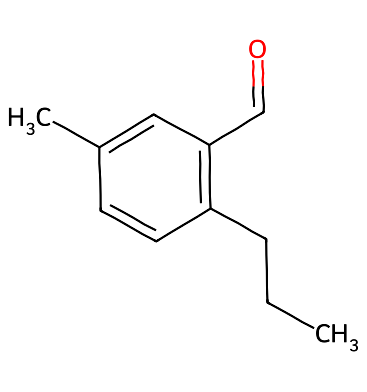 CCCc1ccc(C)cc1C=O